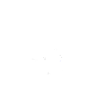 CC(=N\O)/C(Cl)=N\O